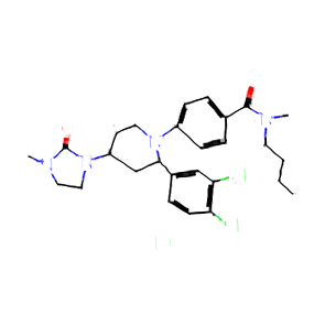 CCCCN(C)C(=O)c1ccc(N2CCC(N3CCN(C)C3=O)CC2c2ccc(Cl)c(Cl)c2)cc1.Cl